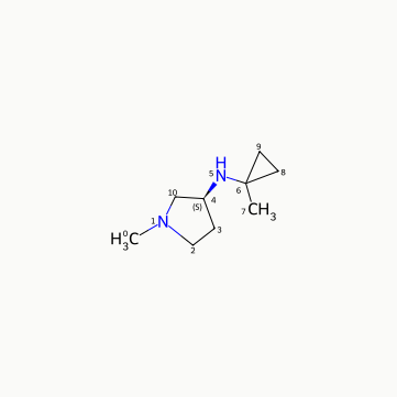 CN1CC[C@H](NC2(C)CC2)C1